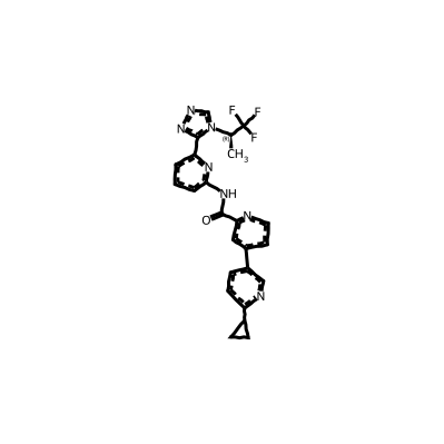 C[C@@H](n1cnnc1-c1cccc(NC(=O)c2cc(-c3ccc(C4CC4)nc3)ccn2)n1)C(F)(F)F